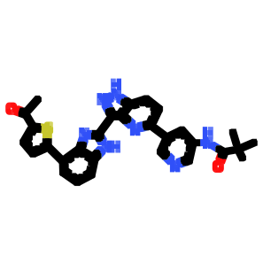 CC(=O)c1ccc(-c2cccc3[nH]c(-c4n[nH]c5ccc(-c6cncc(NC(=O)C(C)(C)C)c6)nc45)nc23)s1